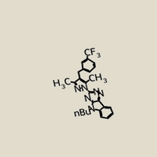 CCCCn1c2ccccc2c2nnc(-n3nc(C)c(Cc4cccc(C(F)(F)F)c4)c3C)nc21